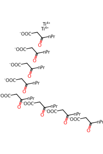 CCCC(=O)CC(=O)[O-].CCCC(=O)CC(=O)[O-].CCCC(=O)CC(=O)[O-].CCCC(=O)CC(=O)[O-].CCCC(=O)CC(=O)[O-].CCCC(=O)CC(=O)[O-].CCCC(=O)CC(=O)[O-].CCCC(=O)CC(=O)[O-].[Ti+4].[Ti+4]